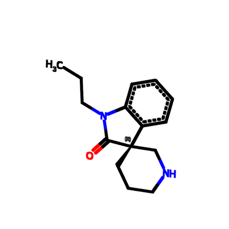 CCCN1C(=O)[C@]2(CCCNC2)c2ccccc21